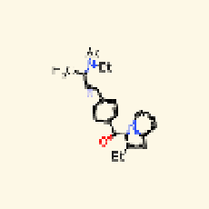 CCc1cc2ccccn2c1C(=O)c1ccc(/C=C/C(C)N(CC)C(C)=O)cc1